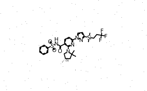 C[C@@H]1CN(c2nc(-n3ccc([Si](C)(C)CCC(F)(F)F)n3)ccc2C(=O)NS(=O)(=O)c2ccccc2)C(C)(C)C1